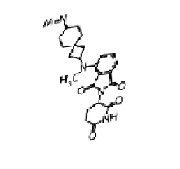 CNC1CCC2(CC1)CC(N(C)c1cccc3c1C(=O)N(C1CCC(=O)NC1=O)C3=O)C2